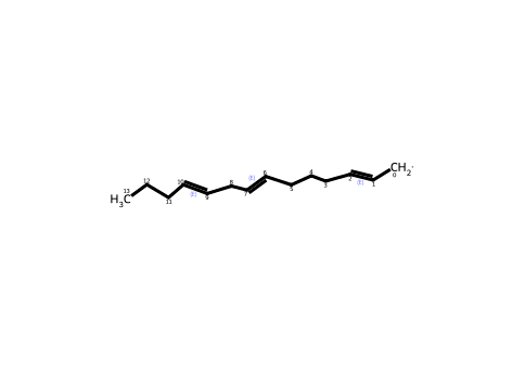 [CH2]/C=C/CCC/C=C/C/C=C/CCC